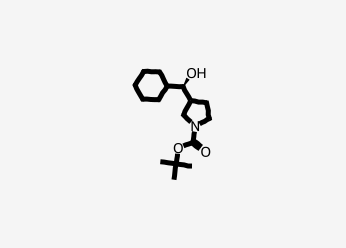 CC(C)(C)OC(=O)N1CCC([C@H](O)C2CCCCC2)C1